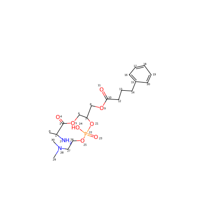 CC(N)C(=O)OCC(COC(=O)CCCc1ccccc1)OP(=O)(O)OCCN(C)C